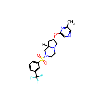 Cc1cncc(O[C@@H]2C[C@H]3CN(S(=O)(=O)c4cccc(C(F)(F)F)c4)CCN3C2)n1